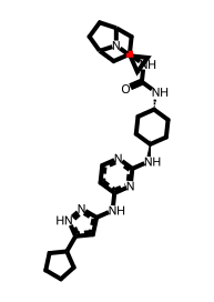 O=C(NC1CC2CCC(C1)N2C1CC1)N[C@H]1CC[C@H](Nc2nccc(Nc3cc(C4CCCC4)[nH]n3)n2)CC1